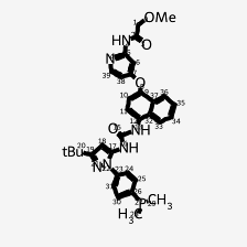 COCC(=O)Nc1cc(Oc2ccc(NC(=O)Nc3cc(C(C)(C)C)nn3-c3ccc(P(C)C)cc3)c3ccccc23)ccn1